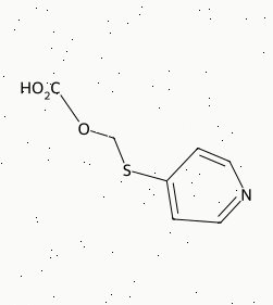 O=C(O)OCSc1ccncc1